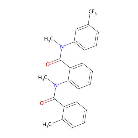 Cc1ccccc1C(=O)N(C)c1ccccc1C(=O)N(C)c1cccc(C(F)(F)F)c1